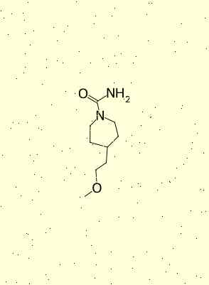 COCCC1CCN(C(N)=O)CC1